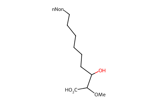 CCCCCCCCCCCCCCCC(O)C(OC)C(=O)O